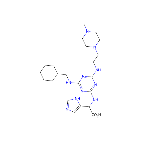 CN1CCN(CCNc2nc(NCC3CCCCC3)nc(NC(C(=O)O)c3cnc[nH]3)n2)CC1